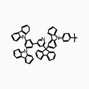 CC(C)(C)c1ccc(-n2c3ccccc3c3cc(C4(c5cncc(-c6cc(-n7c8c(c9ccccc97)C=CCC8)cc(-n7c8ccccc8c8ccccc87)c6)c5)c5ccccc5-c5ccccc54)ccc32)cc1